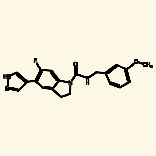 COc1cccc(CNC(=O)N2CCc3cc(-c4cn[nH]c4)c(F)cc32)c1